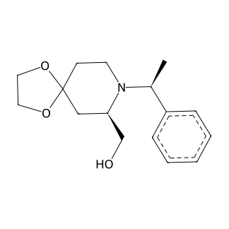 C[C@@H](c1ccccc1)N1CCC2(C[C@@H]1CO)OCCO2